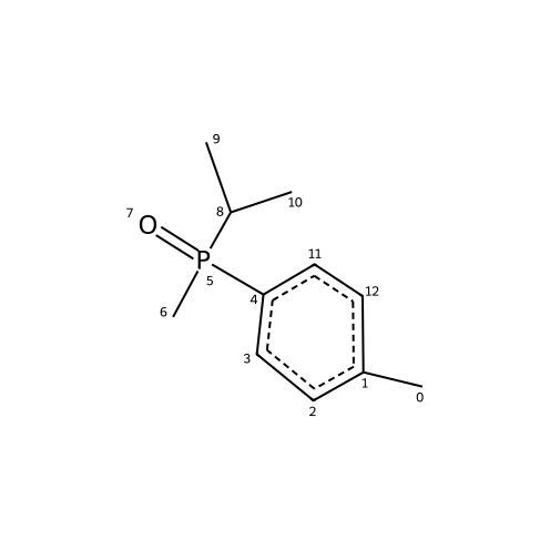 Cc1ccc(P(C)(=O)C(C)C)cc1